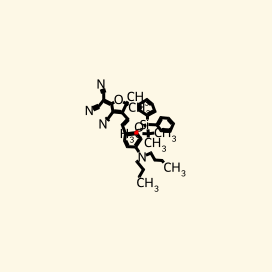 CCCCN(CCCC)c1ccc(C=CC2=C(C#N)C(=C(C#N)C#N)OC2(C)C)c(O[Si](c2ccccc2)(c2ccccc2)C(C)(C)C)c1